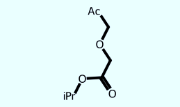 CC(=O)COCC(=O)OC(C)C